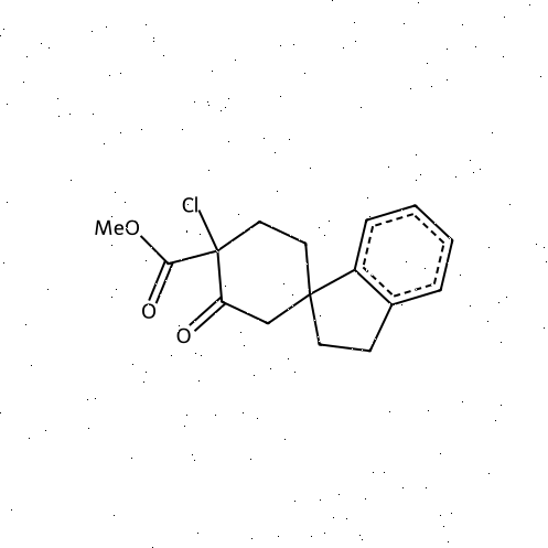 COC(=O)C1(Cl)CCC2(CCc3ccccc32)CC1=O